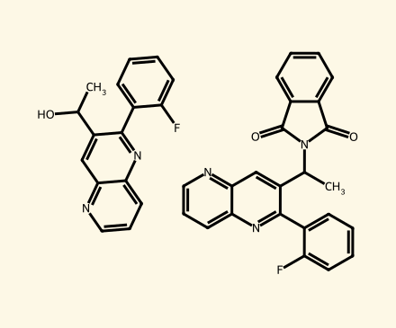 CC(O)c1cc2ncccc2nc1-c1ccccc1F.CC(c1cc2ncccc2nc1-c1ccccc1F)N1C(=O)c2ccccc2C1=O